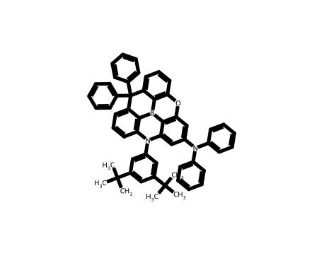 CC(C)(C)c1cc(N2c3cc(N(c4ccccc4)c4ccccc4)cc4c3B3c5c(cccc5C(c5ccccc5)(c5ccccc5)c5cccc2c53)O4)cc(C(C)(C)C)c1